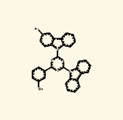 CC(C)(C)c1cccc(-c2nc(-n3c4ccccc4c4ccccc43)nc(-n3c4ccccc4c4cc(C(C)(C)C)ccc43)n2)c1